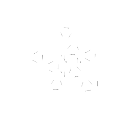 Cc1cccc(-c2ccc3c(c2)c2ccccc2n3-c2cc(-c3cc(F)cc(F)c3)cc(-n3c4ccccc4c4cc(-c5cccc(C)c5)ccc43)c2C#N)c1